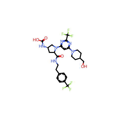 O=C(O)N[C@@H]1CC(C(=O)NCCc2ccc(C(F)(F)F)cc2)N(c2cc(N3CCC(CO)CC3)nc(C(F)(F)F)n2)C1